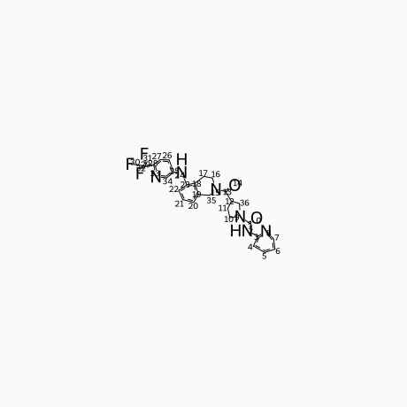 O=C(Nc1ccccn1)N1CCC(C(=O)N2CCc3c(cccc3Nc3ccc(C(F)(F)F)nc3)C2)C1